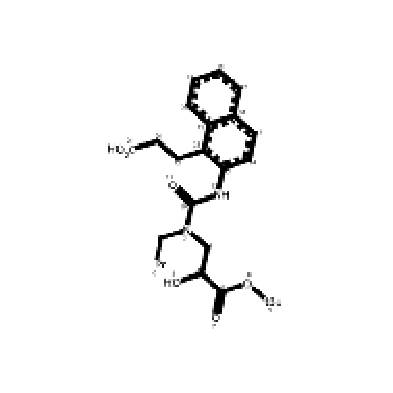 CC(C)CN(CC(O)C(=O)OC(C)(C)C)C(=O)Nc1ccc2ccccc2c1CCC(=O)O